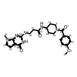 COc1ccc(C(=O)N2CCC(NC(=O)CCSc3nc4c(ccn4C)c(=O)[nH]3)CC2)cc1